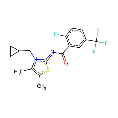 Cc1s/c(=N\C(=O)c2cc(C(F)(F)F)ccc2F)n(CC2CC2)c1C